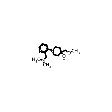 COCC1(O)CCN(c2cccnc2CN(C)C)CC1